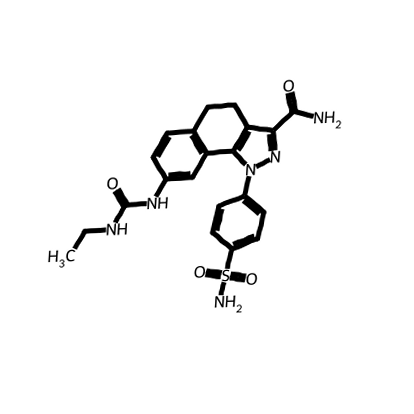 CCNC(=O)Nc1ccc2c(c1)-c1c(c(C(N)=O)nn1-c1ccc(S(N)(=O)=O)cc1)CC2